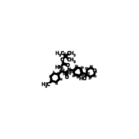 CC1CCC([C@H](NC(=O)OC(C)(C)C)C(=O)Nc2ccc(C3(O)CCOCC3)cc2)CC1